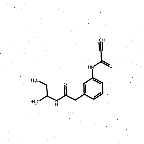 C#CC(=O)Nc1cccc(CC(=O)NC(C)CC)c1